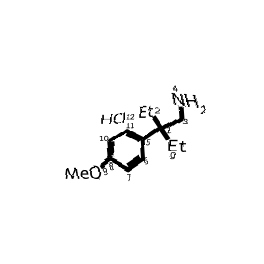 CCC(CC)(CN)c1ccc(OC)cc1.Cl